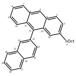 CCCCCCCCc1ccc2[c]c3ccccc3c(-c3ccc4ccccc4c3)c2c1